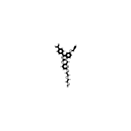 C#CCOc1ccc2c(c1)c(-c1ccc(C(C)C)cc1)nc(=O)n2Cc1cccc(OCCOCCOC)n1